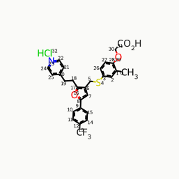 Cc1cc(SCc2cc(-c3ccc(C(F)(F)F)cc3)oc2CCc2ccncc2)ccc1OCC(=O)O.Cl